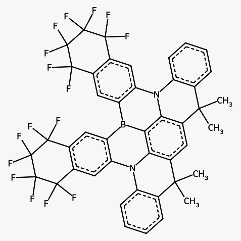 CC1(C)c2ccccc2N2c3cc4c(cc3B3c5cc6c(cc5N5c7ccccc7C(C)(C)c7cc1c2c3c75)C(F)(F)C(F)(F)C(F)(F)C6(F)F)C(F)(F)C(F)(F)C(F)(F)C4(F)F